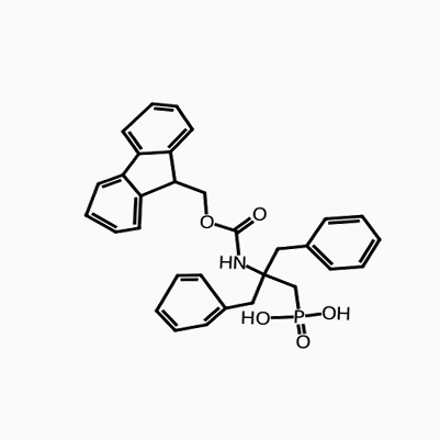 O=C(NC(Cc1ccccc1)(Cc1ccccc1)CP(=O)(O)O)OCC1c2ccccc2-c2ccccc21